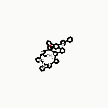 C=Cc1cc2ccc1-c1cccc[n+]1CC1c3cc(ccc3-c3cccc[n+]31)-c1ccccc1-c1cc(cc(-c3ccccc3-c3cc4c(cc3-c3ccc(-c5ccccc5)cc3)-c3cccc[n+]3C4)c1)-c1ccccc1-2